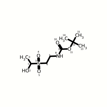 CC(O)S(=O)(=O)CCNC(=O)OC(C)(C)C